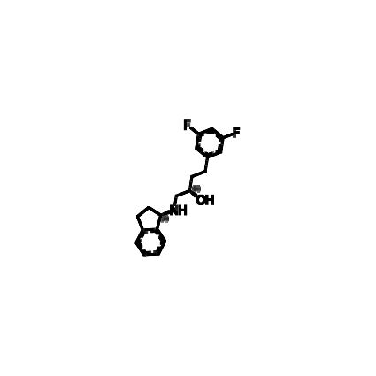 O[C@H](CCc1cc(F)cc(F)c1)CN[C@@H]1CCc2ccccc21